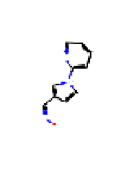 O/N=C\c1ccn(-c2cc[c]cn2)c1